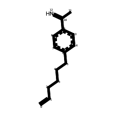 C=CCCCCc1ccc(C(C)=N)cc1